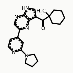 CC1(C(=O)c2c[nH]c3ncc(-c4ccnc(N5CCCC5)c4)nc23)CCCCC1